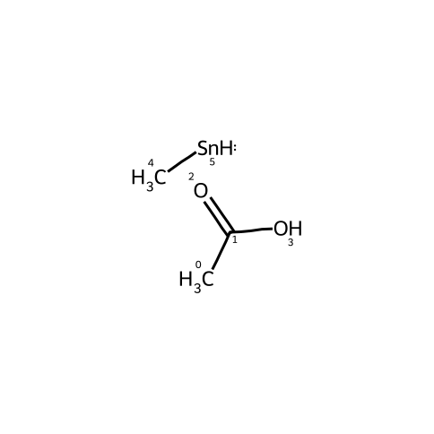 CC(=O)O.[CH3][SnH]